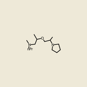 CCCN(C)CC(C)OCC(C)N1CCCC1